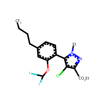 CCOC(=O)c1nn(CC)c(-c2ccc(CCCC(F)(F)F)cc2OC(F)F)c1Cl